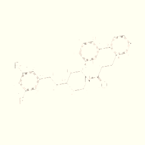 O=C(CCc1ccccc1-c1ccccc1)N1CCC(CCc2cc(F)cc(F)c2)CC1